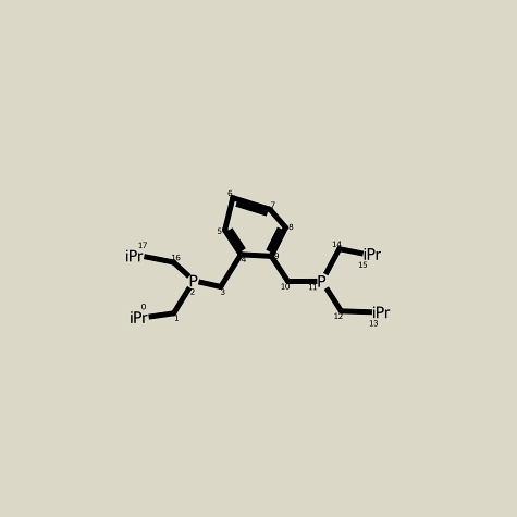 CC(C)CP(Cc1ccccc1CP(CC(C)C)CC(C)C)CC(C)C